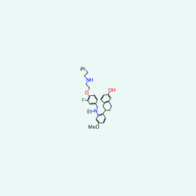 CCN(Cc1ccc(OCCNCCC(C)C)c(F)c1)c1cc(OC)ccc1C1CCc2cc(O)ccc2C1